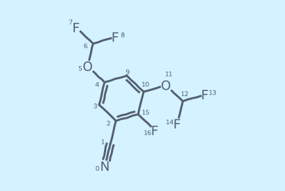 N#Cc1cc(OC(F)F)cc(OC(F)F)c1F